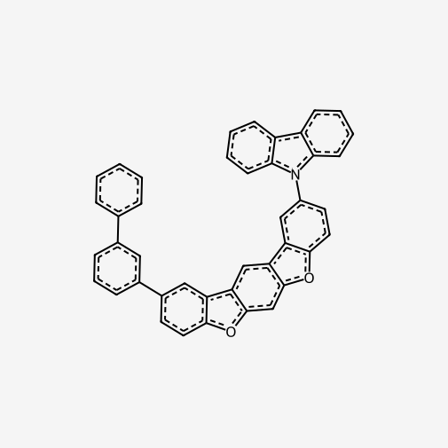 c1ccc(-c2cccc(-c3ccc4oc5cc6oc7ccc(-n8c9ccccc9c9ccccc98)cc7c6cc5c4c3)c2)cc1